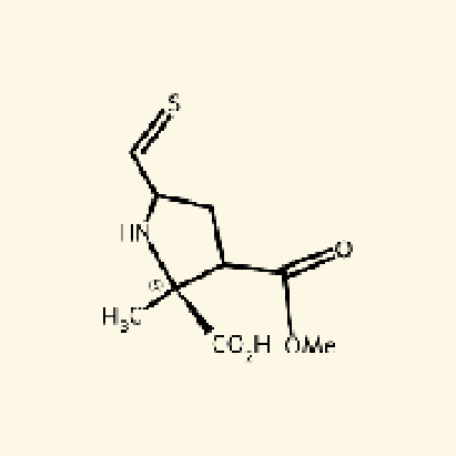 COC(=O)C1CC(C=S)N[C@]1(C)C(=O)O